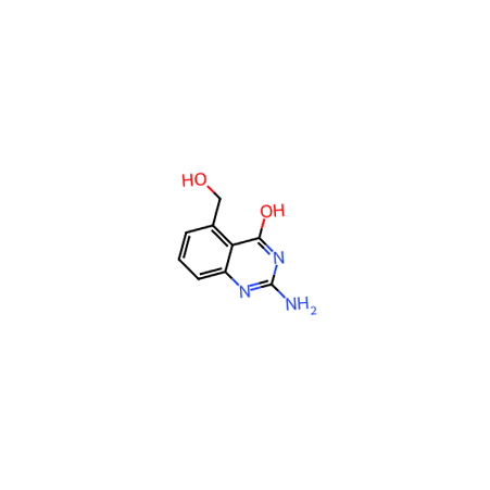 Nc1nc(O)c2c(CO)cccc2n1